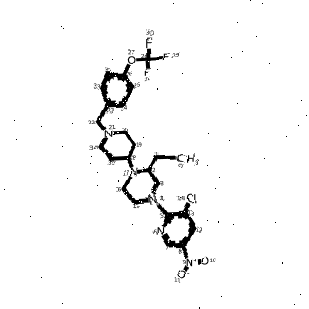 CCC1CN(c2ncc([N+](=O)[O-])cc2Cl)CCN1C1CCN(Cc2ccc(OC(F)(F)F)cc2)CC1